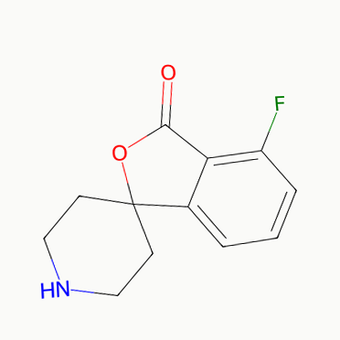 O=C1OC2(CCNCC2)c2cccc(F)c21